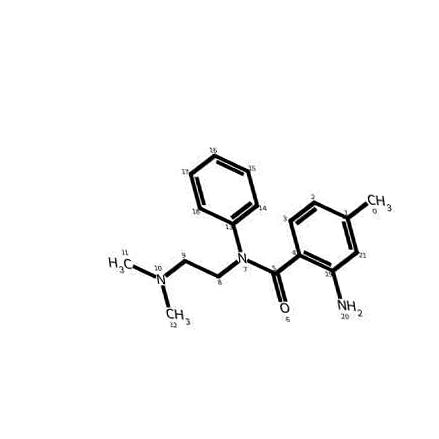 Cc1ccc(C(=O)N(CCN(C)C)c2ccccc2)c(N)c1